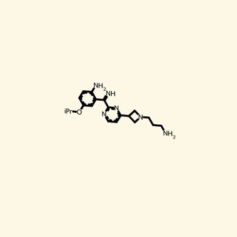 CC(C)Oc1ccc(N)c(C(=N)c2nccc(C3CN(CCCN)C3)n2)c1